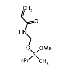 C=CC(=O)NCO[Si](C)(CCC)OC